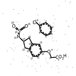 Clc1ccccc1.O=C(O)COc1ccc2c(c1)CC(N=S(=O)=O)C2